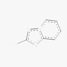 CCCCCc1nc2ccccn2n1